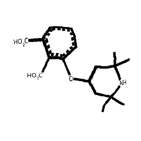 CC1(C)CC(Oc2cccc(C(=O)O)c2C(=O)O)CC(C)(C)N1